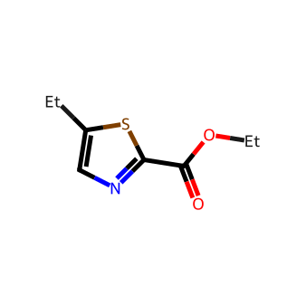 [CH2]Cc1cnc(C(=O)OCC)s1